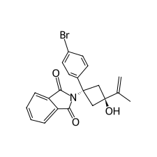 C=C(C)[C@]1(O)C[C@](c2ccc(Br)cc2)(N2C(=O)c3ccccc3C2=O)C1